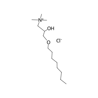 CCCCCCCCOCC(O)C[N+](C)(C)C.[Cl-]